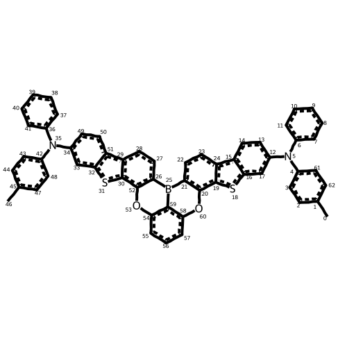 Cc1ccc(N(c2ccccc2)c2ccc3c(c2)sc2c4c(ccc23)B2c3ccc5c(sc6cc(N(c7ccccc7)c7ccc(C)cc7)ccc65)c3Oc3cccc(c32)O4)cc1